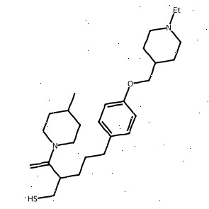 C=C(C(CS)CCCc1ccc(OCC2CCN(CC)CC2)cc1)N1CCC(C)CC1